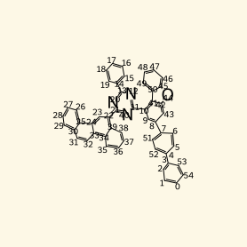 c1ccc(-c2ccc(-c3cc(-c4nc(-c5ccccc5)nc(-c5cc6c7ccccc7ccc6c6ccccc56)n4)c4c(c3)oc3ccccc34)cc2)cc1